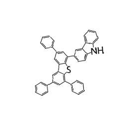 c1ccc(-c2cc(-c3ccccc3)c3sc4c(-c5ccc6[nH]c7ccccc7c6c5)cc(-c5ccccc5)cc4c3c2)cc1